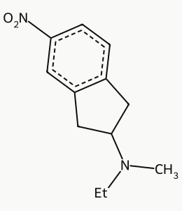 CCN(C)C1Cc2ccc([N+](=O)[O-])cc2C1